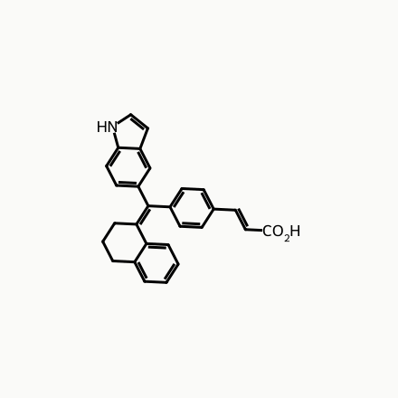 O=C(O)C=Cc1ccc(/C(=C2/CCCc3ccccc32)c2ccc3[nH]ccc3c2)cc1